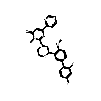 COc1ccc(-c2ccc(Cl)cc2Cl)cc1C1CN(c2nc(-c3ccncn3)cc(=O)n2C)CCO1